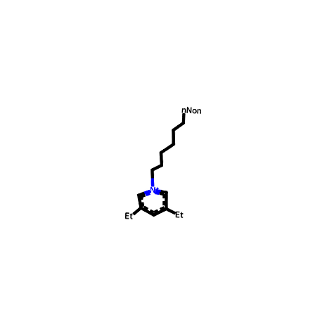 CCCCCCCCCCCCCCC[n+]1cc(CC)cc(CC)c1